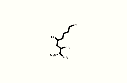 CN[C@@H](C)C(C)CC(C)CCCCC(C)C